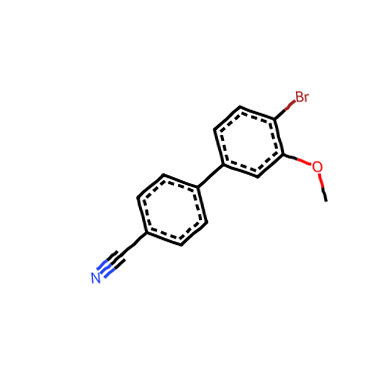 COc1cc(-c2ccc(C#N)cc2)ccc1Br